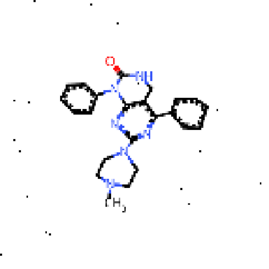 CN1CCN(c2nc(-c3ccccc3)c3c(n2)N(c2ccccc2)C(=O)NC3)CC1